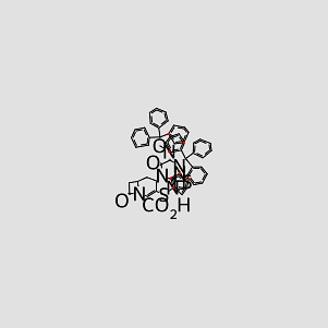 O=C(O)C1=C(Sc2cccnc2)C(N(C(=O)C(=NOC(c2ccccc2)(c2ccccc2)c2ccccc2)NC(c2ccccc2)(c2ccccc2)c2ccccc2)c2cscn2)CC2CC(=O)N12